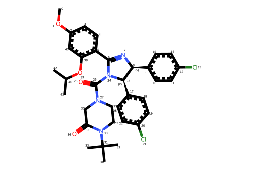 COc1ccc(C2=N[C@@H](c3ccc(Cl)cc3)[C@@H](c3ccc(Cl)cc3)N2C(=O)N2CCN(C(C)(C)C)C(=O)C2)c(OC(C)C)c1